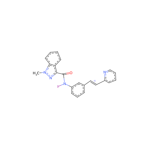 Cn1nc(C(=O)N(I)c2cccc(/C=C/c3ccccn3)c2)c2ccccc21